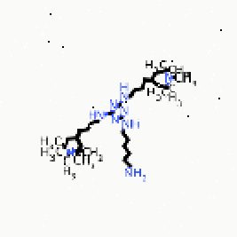 CN1C(C)(C)CC(CCCCNc2nc(NCCCCCCN)nc(NCCCCC3CC(C)(C)N(C)C(C)(C)C3)n2)CC1(C)C